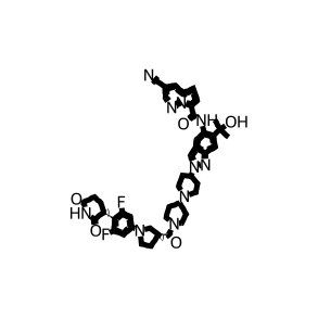 CC(C)(O)c1cc2nn(C3CCN(C4CCN(C(=O)[C@@H]5CCN(c6cc(F)c([C@H]7CCC(=O)NC7=O)c(F)c6)C5)CC4)CC3)cc2cc1NC(=O)c1ccc2cc(C#N)cnn12